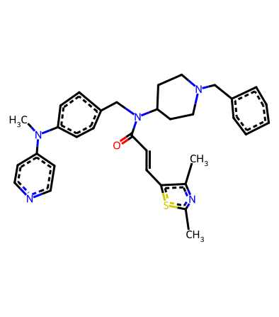 Cc1nc(C)c(/C=C/C(=O)N(Cc2ccc(N(C)c3ccncc3)cc2)C2CCN(Cc3ccccc3)CC2)s1